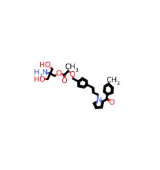 Cc1ccc(C(=O)c2cccn2C/C=C/c2ccc(CO[C@@H](C)C(=O)OCC(N)(CO)CO)cc2)cc1